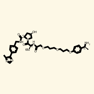 Cc1ncsc1-c1ccc(CNC(=O)[C@@H]2C[C@@H](O)CN2C(=O)[C@@H](NC(=O)COCCCOCCCOc2ccc([C@H](C)N)cc2)C(C)(C)C)cc1